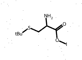 CC(C)(C)SCC(N)C(=O)OI